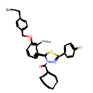 COc1c(OCc2ccc(CC(C)=O)cc2)cccc1C1SC(c2ccc(F)cc2)=NN1C(=O)C1CCCCC1